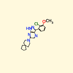 COc1cccc(-c2n[nH]c3nc(N4CCC5(CCCC5)CC4)cnc23)c1Cl